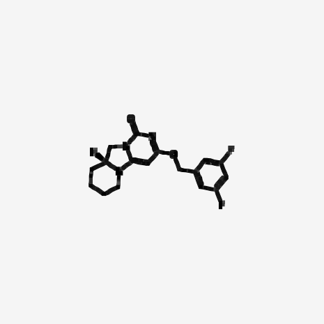 O=c1nc(OCc2cc(F)cc(F)c2)cc2n1C[C@H]1CCCCN21